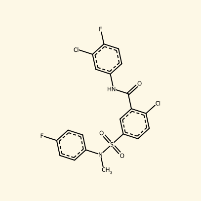 CN(c1ccc(F)cc1)S(=O)(=O)c1ccc(Cl)c(C(=O)Nc2ccc(F)c(Cl)c2)c1